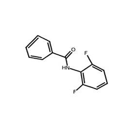 O=C(Nc1c(F)cccc1F)c1ccccc1